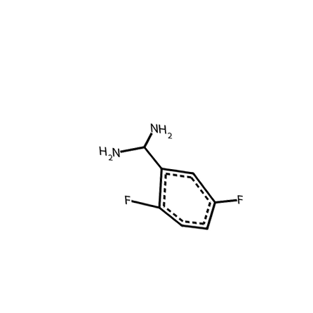 NC(N)c1cc(F)ccc1F